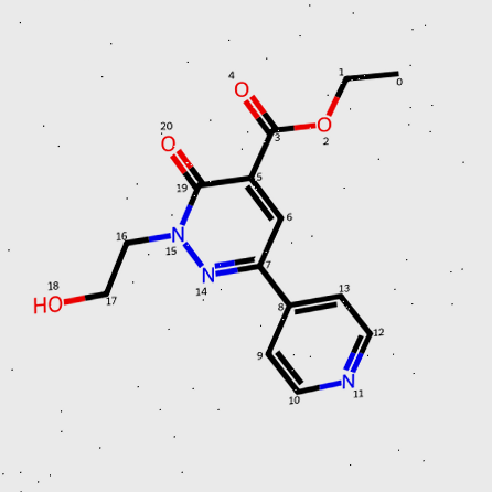 CCOC(=O)c1cc(-c2ccncc2)nn(CCO)c1=O